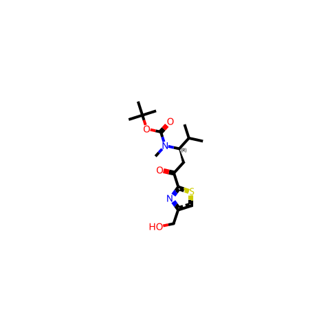 CC(C)[C@@H](CC(=O)c1nc(CO)cs1)N(C)C(=O)OC(C)(C)C